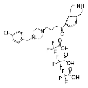 O=C(CCCN1CCN(Cc2ccc(Cl)cc2)CC1)c1ccc2c(c1)CCNCC2.O=C(O)C(F)(F)F.O=C(O)C(F)(F)F.O=C(O)C(F)(F)F